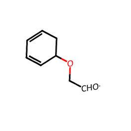 O=[C]COC1C=CC=CC1